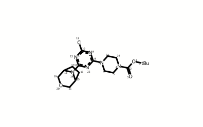 CC(C)(C)OC(=O)N1CCN(c2nc(Cl)nc(N3C4CCC3COC4)n2)CC1